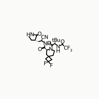 CC(C)(C)[C@H](NC(=O)C(F)(F)F)C(=O)N1CCC2(C[C@H]1C(=O)N[C@H](C#N)C[C@@H]1CCNC1=O)CC(F)(F)C2